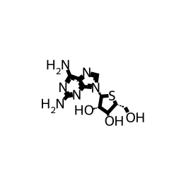 Nc1nc(N)c2ncn([C@H]3S[C@H](CO)[C@@H](O)[C@@H]3O)c2n1